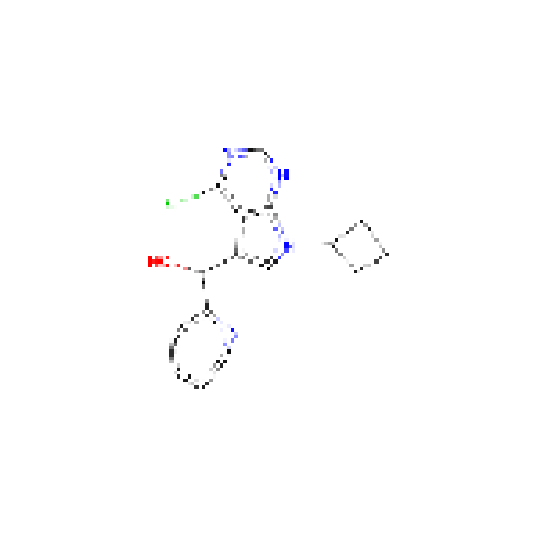 OC(c1ccccn1)c1cn(C2CCC2)c2ncnc(Cl)c12